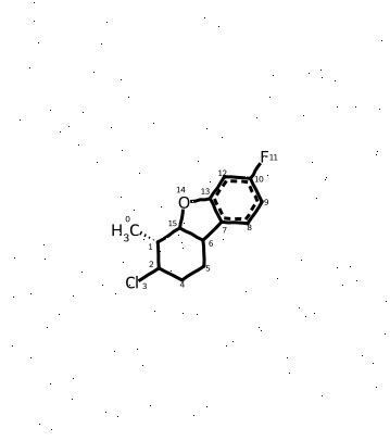 C[C@H]1C(Cl)CCC2c3ccc(F)cc3OC21